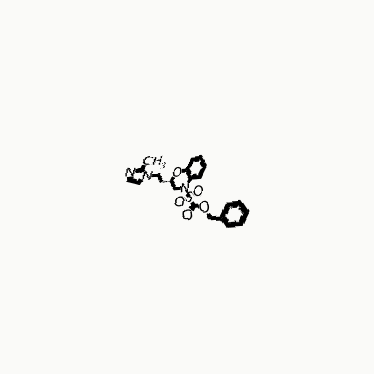 Cc1nccn1CC[C@H]1CN(S(=O)(=O)C(=O)OCc2ccccc2)c2ccccc2O1